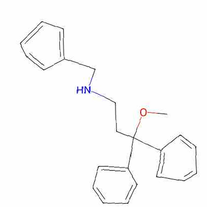 COC(CCNCc1ccccc1)(c1ccccc1)c1ccccc1